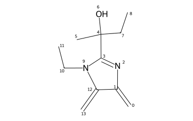 C=c1nc(C(C)(O)CC)n(CC)c1=C